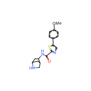 COc1ccc(-c2cnc(C(=O)NC3CC4CC3CN4)s2)cc1